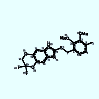 COc1c(C)cnc(CSc2nc3cc4c(cc3[nH]2)OCC(F)(F)O4)c1OC